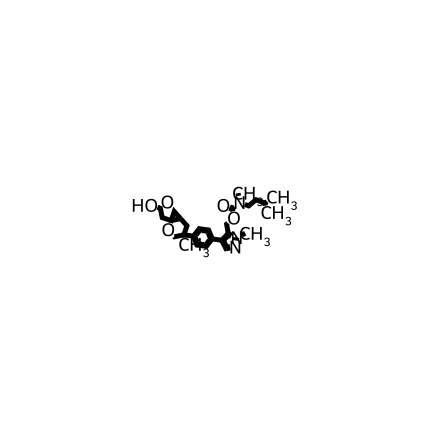 CC(C)CCN(C)C(=O)OCc1c(-c2ccc(C3(C)COC4(CC(=O)O)CC4C3)cc2)cnn1C